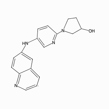 OC1CCN(c2ccc(Nc3ccc4nc[c]cc4c3)cn2)C1